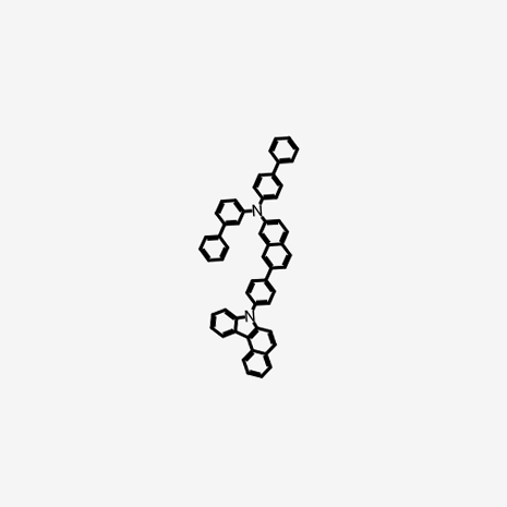 c1ccc(-c2ccc(N(c3cccc(-c4ccccc4)c3)c3ccc4ccc(-c5ccc(-n6c7ccccc7c7c8ccccc8ccc76)cc5)cc4c3)cc2)cc1